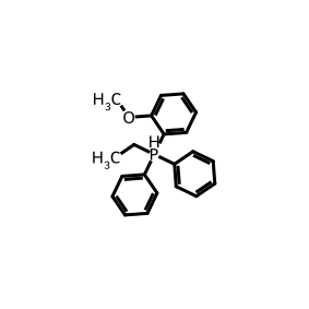 CC[PH](c1ccccc1)(c1ccccc1)c1ccccc1OC